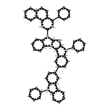 c1ccc(-c2nc(-n3c4ccccc4n4c5c6cc(-c7ccc8c(c7)c7ccccc7n8-c7ccccc7)ccc6n(-c6ccccc6)c5nc34)nc3c2ccc2ccccc23)cc1